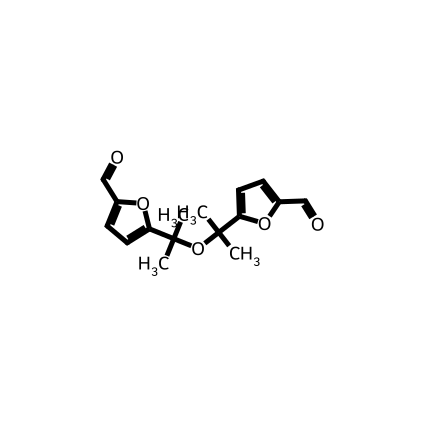 CC(C)(OC(C)(C)c1ccc(C=O)o1)c1ccc(C=O)o1